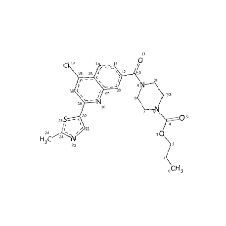 CCCOC(=O)N1CCN(C(=O)c2ccc3c(Cl)cc(-c4cnc(C)s4)nc3c2)CC1